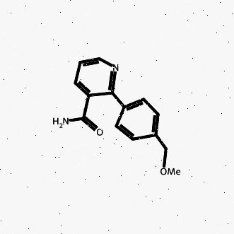 COCc1ccc(-c2ncccc2C(N)=O)cc1